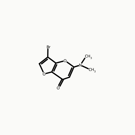 CN(C)c1cc(=O)c2occ(Br)c2o1